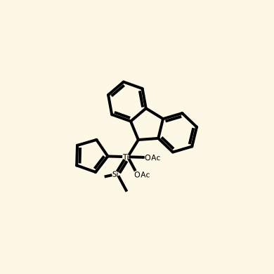 CC(=O)[O][Ti]([O]C(C)=O)([C]1=CC=CC1)([CH]1c2ccccc2-c2ccccc21)=[Si](C)C